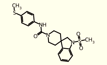 CSc1ccc(NC(=O)N2CCC3(CC2)CN(S(C)(=O)=O)c2ccccc23)cc1